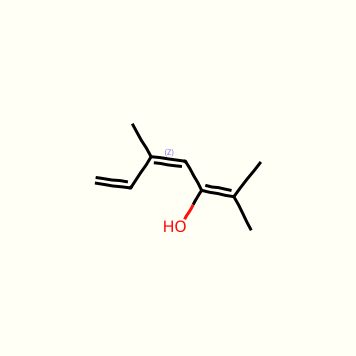 C=C/C(C)=C\C(O)=C(C)C